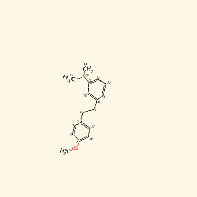 COc1ccc(CCc2[c]ccc(C(C)C)c2)cc1